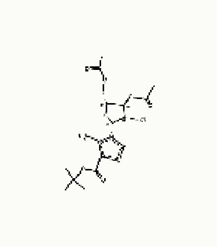 CC(=O)OC[C@H]1O[C@@H](n2cnc(C(=O)OC(C)(C)C)c2N)[C@@H](Cl)[C@@H]1OC(C)=O